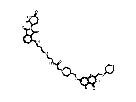 O=C(CN1CCC(COc2cc(F)c3c(=O)[nH]c(CSC4CCOCC4)nc3c2)CC1)NCCOCCCNc1cccc2c1C(=O)N(C1CCC(=O)NC1=O)C2=O